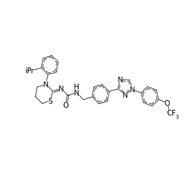 CC(C)c1ccccc1N1CCCS/C1=N\C(=O)NCc1ccc(-c2ncn(-c3ccc(OC(F)(F)F)cc3)n2)cc1